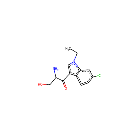 CCn1cc(C(=O)C(N)CO)c2ccc(Cl)cc21